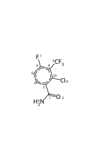 NC(=O)c1ccc(F)c(C(F)(F)F)c1Cl